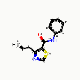 C=CCc1n[c]sc1C(=O)Nc1ccccc1